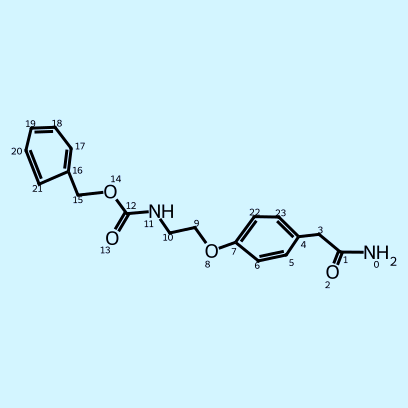 NC(=O)Cc1ccc(OCCNC(=O)OCc2ccccc2)cc1